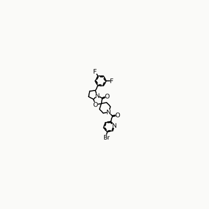 O=C(c1ccc(Br)cn1)N1CCC2(CC1)OC1CCC(c3cc(F)cc(F)c3)N1C2=O